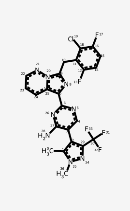 Cc1c(-c2cnc(-c3nc(Cc4c(F)ccc(F)c4Cl)n4ncccc34)nc2N)c(C(F)(F)F)nn1C